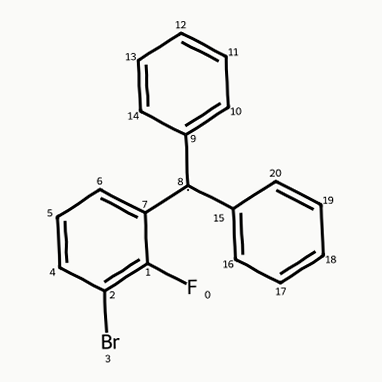 Fc1c(Br)cccc1[C](c1ccccc1)c1ccccc1